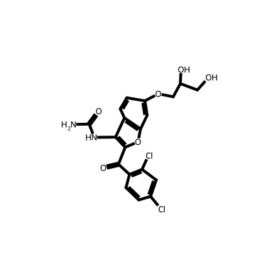 NC(=O)Nc1c(C(=O)c2ccc(Cl)cc2Cl)oc2cc(OCC(O)CO)ccc12